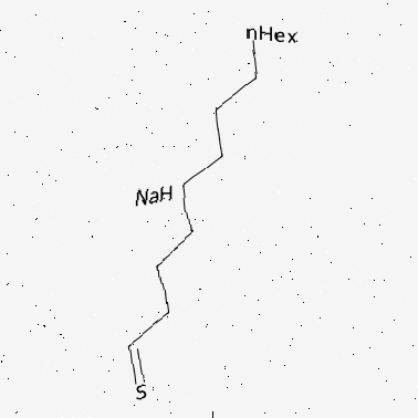 CCCCCCCCCCCCCC=S.[NaH]